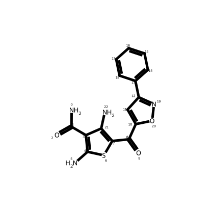 NC(=O)c1c(N)sc(C(=O)c2cc(-c3ccccc3)no2)c1N